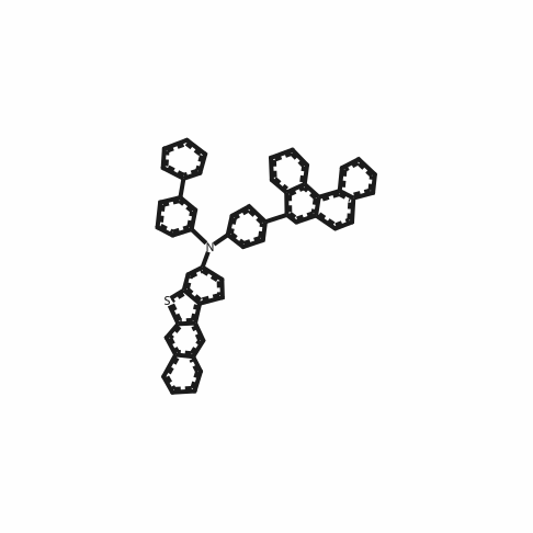 c1ccc(-c2cccc(N(c3ccc(-c4cc5ccc6ccccc6c5c5ccccc45)cc3)c3ccc4c(c3)sc3cc5ccccc5cc34)c2)cc1